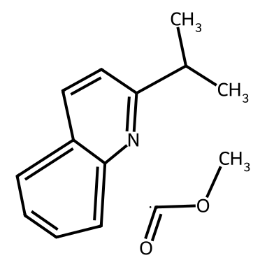 CC(C)c1ccc2ccccc2n1.CO[C]=O